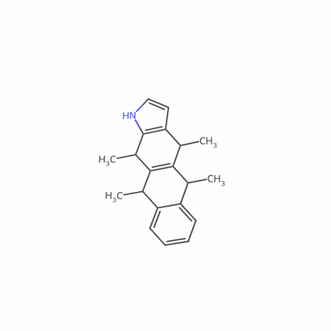 CC1C2=C(C(C)c3ccccc31)C(C)c1[nH]ccc1C2C